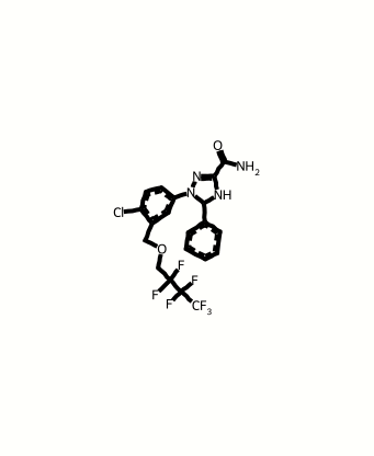 NC(=O)C1=NN(c2ccc(Cl)c(COCC(F)(F)C(F)(F)C(F)(F)F)c2)C(c2ccccc2)N1